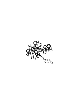 C=CCCCCN(C)C(=O)C1CC(OC(=O)Nc2ccccc2C(=O)OCC)CC1C(=O)NC1(C(=O)NS(=O)(=O)C2CC2)CC1C=C